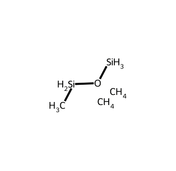 C.C.C[SiH2]O[SiH3]